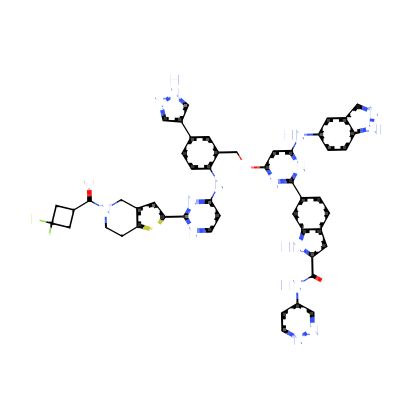 O=C(Nc1ccnnc1)c1cc2ccc(-c3nc(Nc4ccc5[nH]ncc5c4)cc(OCc4cc(-c5cn[nH]c5)ccc4Nc4ccnc(-c5cc6c(s5)CCN(C(=O)C5CC(F)(F)C5)C6)n4)n3)cc2[nH]1